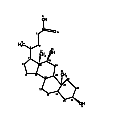 CC(CCC(=O)O)C1CCC2C3CCC4C[C@H](O)CC[C@]4(C)C3C[C@H](O)[C@]12C